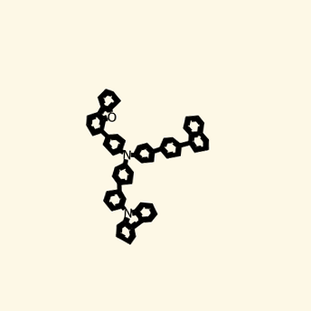 c1cc(-c2ccc(N(c3ccc(-c4ccc(-c5cccc6ccccc56)cc4)cc3)c3ccc(-c4cccc5c4oc4ccccc45)cc3)cc2)cc(-n2c3ccccc3c3ccccc32)c1